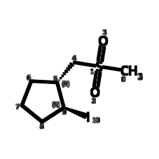 CS(=O)(=O)C[C@H]1CCC[C@@H]1I